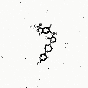 CS(=O)(=O)c1cc(F)c(N[C@H]2CCN(C3CCN(c4cnc(Cl)cn4)CC3)C2=O)cc1F